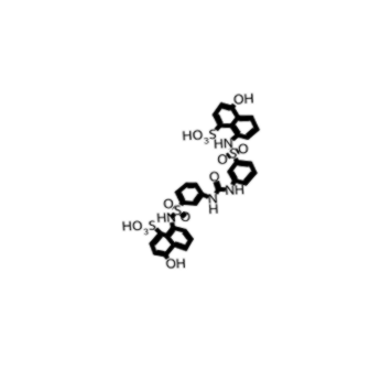 O=C(Nc1cccc(S(=O)(=O)Nc2cccc3c(O)ccc(S(=O)(=O)O)c23)c1)Nc1cccc(S(=O)(=O)Nc2cccc3c(O)ccc(S(=O)(=O)O)c23)c1